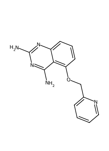 Nc1nc(N)c2c(OCc3ccccn3)cccc2n1